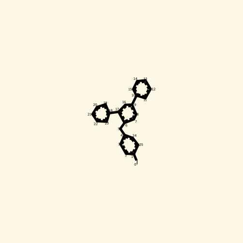 Ic1ccc(Cc2ccc(-c3ccccc3)cc2-c2ccccc2)cc1